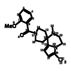 COc1ccccc1C(=O)N1CCC2(CC1)c1ccc(C(F)(F)F)n1CCN2C